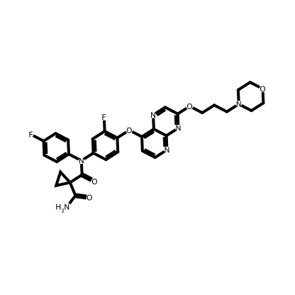 NC(=O)C1(C(=O)N(c2ccc(F)cc2)c2ccc(Oc3ccnc4nc(OCCCN5CCOCC5)cnc34)c(F)c2)CC1